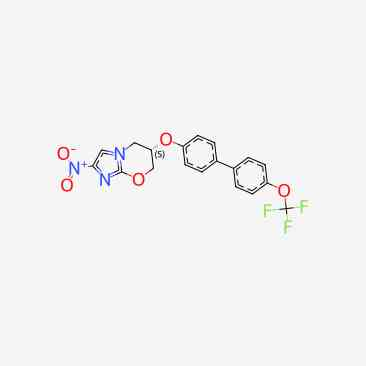 O=[N+]([O-])c1cn2c(n1)OC[C@@H](Oc1ccc(-c3ccc(OC(F)(F)F)cc3)cc1)C2